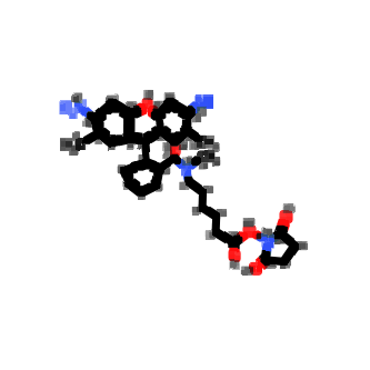 Cc1cc2c(-c3ccccc3C(=O)N(C)CCCCCC(=O)ON3C(=O)CCC3=O)c3cc(C)c(=N)cc-3oc2cc1N